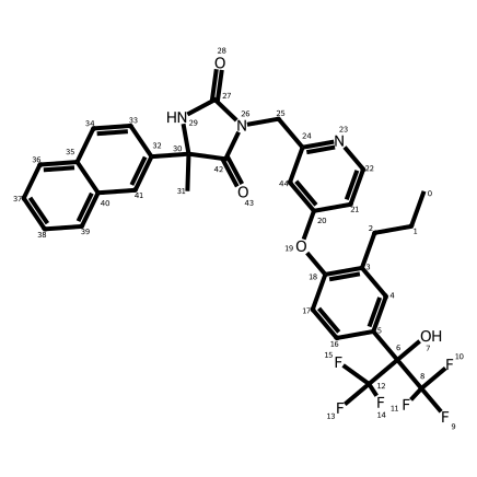 CCCc1cc(C(O)(C(F)(F)F)C(F)(F)F)ccc1Oc1ccnc(CN2C(=O)NC(C)(c3ccc4ccccc4c3)C2=O)c1